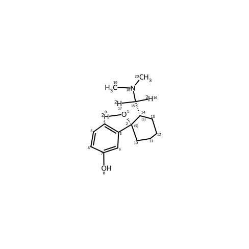 [2H]O[C@@]1(c2cccc(O)c2)CCCC[C@H]1C([2H])([2H])N(C)C